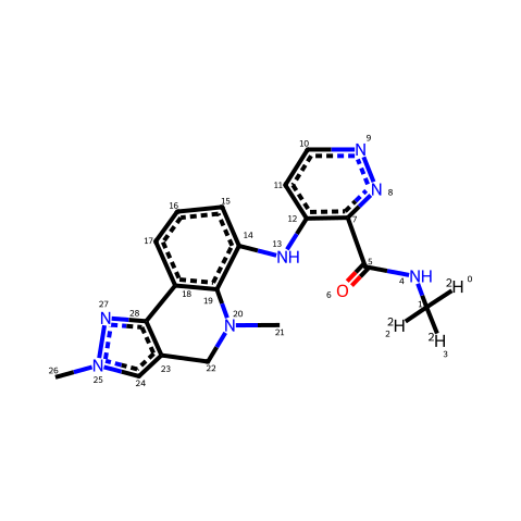 [2H]C([2H])([2H])NC(=O)c1nnccc1Nc1cccc2c1N(C)Cc1cn(C)nc1-2